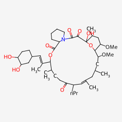 CCCC1/C=C(/C)CC(C)CC(OC)C2OC(O)(C(=O)C(=O)N3CCCCC3C(=O)OC(/C(C)=C/C3CCC(O)C(O)C3)C(C)CCC1=O)C(C)CC2OC